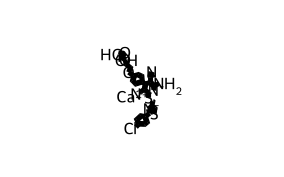 N#CC1=C(N)[N-]C(SCC2=CSC(c3ccc(Cl)cc3)[N-]2)C(C#N)=C1c1ccc(OCCOP(=O)(O)O)cc1.[Ca+2]